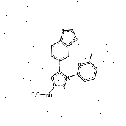 Cc1cccc(-n2nc(NC(=O)O)cc2-c2ccc3ncsc3c2)n1